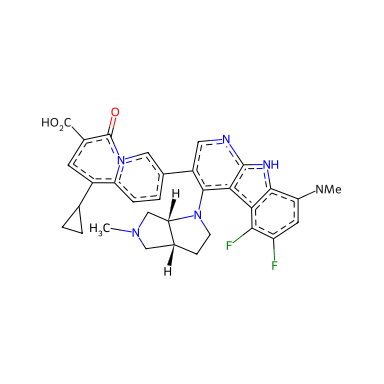 CNc1cc(F)c(F)c2c1[nH]c1ncc(-c3ccc4c(C5CC5)cc(C(=O)O)c(=O)n4c3)c(N3CC[C@@H]4CN(C)C[C@@H]43)c12